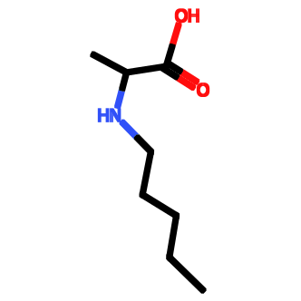 CCCCCNC(C)C(=O)O